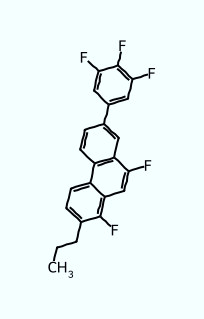 CCCc1ccc2c(cc(F)c3cc(-c4cc(F)c(F)c(F)c4)ccc32)c1F